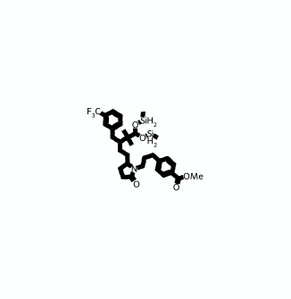 COC(=O)c1ccc(CCCN2C(=O)CCC2CCC(Cc2cccc(C(F)(F)F)c2)C(C)(C)C(O[SiH2]C)O[SiH2]C)cc1